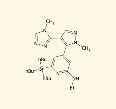 CCC[CH2][Sn]([CH2]CCC)([CH2]CCC)[c]1cc(-c2c(-c3nncn3C)cnn2C)cc(NCC)n1